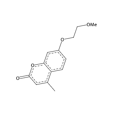 COCCOc1ccc2c(C)cc(=O)oc2c1